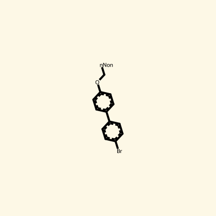 CCCCCCCCCCOc1ccc(-c2ccc(Br)cc2)cc1